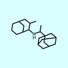 CC1CC2CCCC(C2)C1NC(C)C12CC3CC(CC(C3)C1)C2